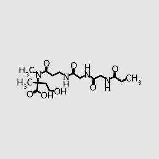 CCC(=O)NCC(=O)NCC(=O)NCCC(=O)N(C)C(C)(CCO)C(=O)O